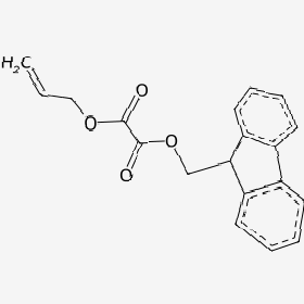 C=CCOC(=O)C(=O)OCC1c2ccccc2-c2ccccc21